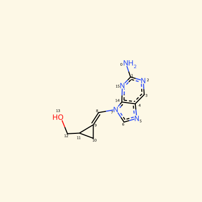 Nc1ncc2ncn(C=C3CC3CO)c2n1